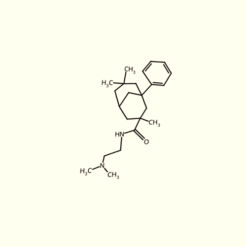 CN(C)CCNC(=O)C1(C)CC2CC(C)(C)CC(c3ccccc3)(C2)C1